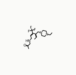 C/C=C(CN1CCN(CC)CC1)\C(=C/CNCC(C)=O)C(F)(F)F